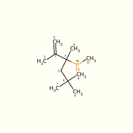 C=C(C)C(C)(CC(C)(C)C)PC